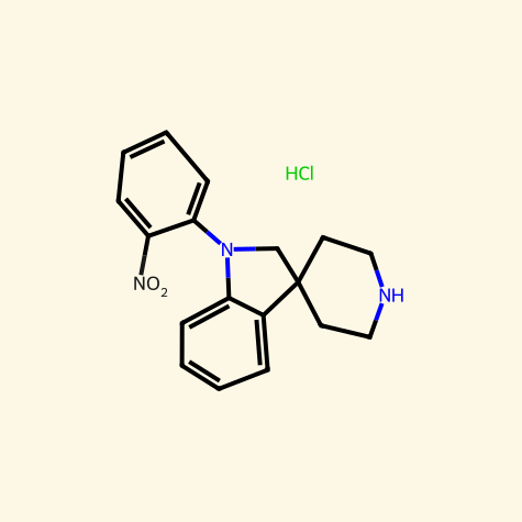 Cl.O=[N+]([O-])c1ccccc1N1CC2(CCNCC2)c2ccccc21